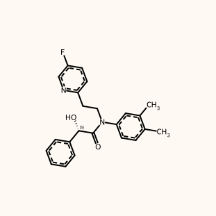 Cc1ccc(N(CCc2ccc(F)cn2)C(=O)[C@@H](O)c2ccccc2)cc1C